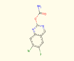 NC(=O)Oc1ncc2cc(F)c(Br)cc2n1